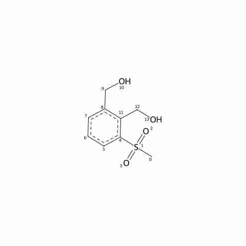 CS(=O)(=O)c1cccc(CO)c1CO